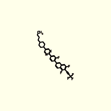 CCCCC1CCC(c2cnc(-c3ccc(-c4ccc5c(F)c(C#CC(F)(F)F)c(F)cc5c4)c(F)c3)nc2)CC1